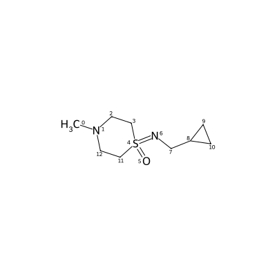 CN1CCS(=O)(=NCC2CC2)CC1